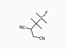 CC(C)(C(C#N)CC#N)S(C)(C)F